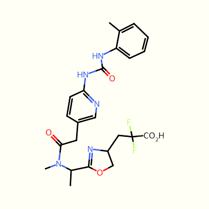 Cc1ccccc1NC(=O)Nc1ccc(CC(=O)N(C)C(C)C2=NC(CC(F)(F)C(=O)O)CO2)cn1